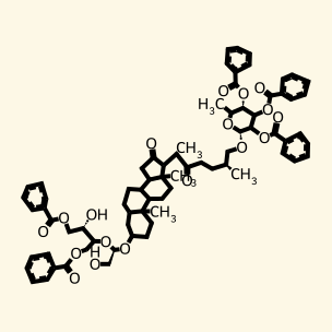 CC1O[C@@H](OC[C@@H](C)CCC(=O)[C@@H](C)C2C(=O)CC3C4CCC5CC(O[C@@H](CO)OC(COC(=O)c6ccccc6)[C@@H](O)COC(=O)c6ccccc6)CCC5(C)C4CCC32C)C(OC(=O)c2ccccc2)C(OC(=O)c2ccccc2)[C@H]1OC(=O)c1ccccc1